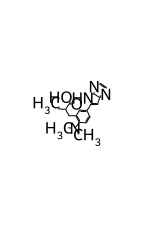 CCC(Cc1cc(-c2cc3nccnc3[nH]2)ccc1N(C)C)C(=O)O